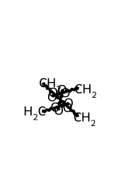 C=CCCCCOC(=O)c1cc(C(=O)OCCCCC=C)cc(-c2cc(C(=O)OCCCCC=C)cc(C(=O)OCCCCC=C)c2)c1